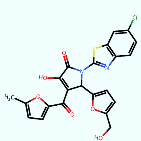 Cc1ccc(C(=O)C2=C(O)C(=O)N(c3nc4ccc(Cl)cc4s3)C2c2ccc(CO)o2)o1